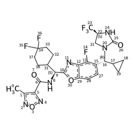 Cc1nonc1C(=O)N[C@H](c1nc2c(F)c([C@@H](C3CC3)N3C[C@@H](C(F)(F)F)NC3=O)ccc2o1)C1CCC(F)(F)CC1